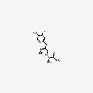 CCCCC(NCC(Cc1ccc(O)c(Br)c1)=NO)C(N)=O